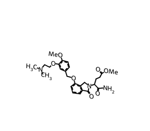 COC(=O)CCC(C(N)=O)N1Cc2c(OCc3ccc(OC)c(OCCN(C)C)c3)cccc2C1=O